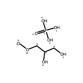 O=P(O)(O)O.OCC(O)COCl